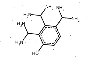 NC(N)c1ccc(O)c(C(N)N)c1C(N)N